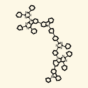 c1ccc(-c2nc(-c3ccc(-c4ccc(-n5c6ccccc6c6cc(-c7ccc8c(c7)c7c(-c9ccccc9)nc(-c9ccccc9)nc7n8-c7nc(-c8ccccc8)nc(-c8ccccc8)n7)ccc65)cc4)cc3)nc(-c3cccc(-n4c5ccc(-c6ccc7c(c6)c6ccccc6n7-c6ccccc6)cc5c5c(-c6ccccc6)nc(-c6ccccc6)nc54)c3)n2)cc1